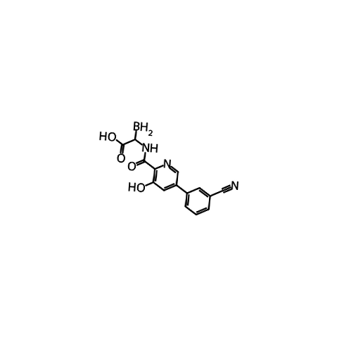 BC(NC(=O)c1ncc(-c2cccc(C#N)c2)cc1O)C(=O)O